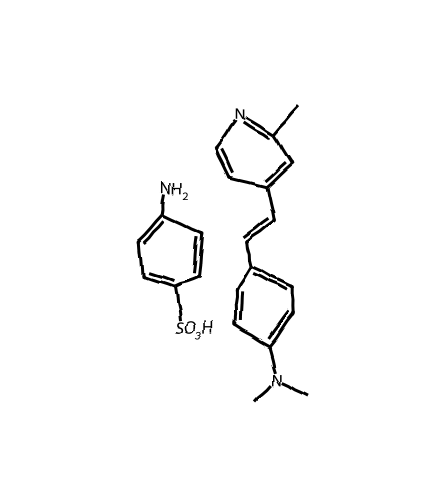 Cc1cc(C=Cc2ccc(N(C)C)cc2)ccn1.Nc1ccc(S(=O)(=O)O)cc1